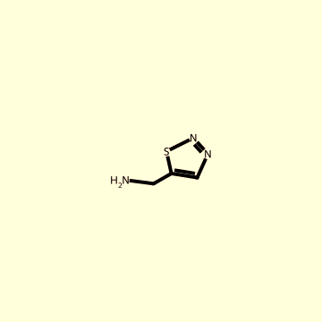 NCc1cnns1